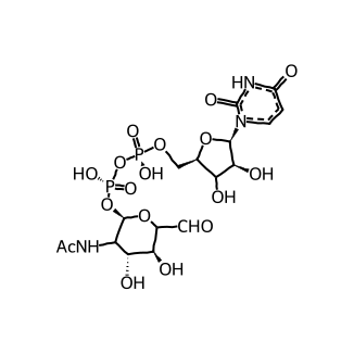 CC(=O)NC1[C@@H](O[P@@](=O)(O)O[P@@](=O)(O)OC[C@H]2O[C@@H](n3ccc(=O)[nH]c3=O)[C@@H](O)C2O)OC(C=O)[C@@H](O)[C@@H]1O